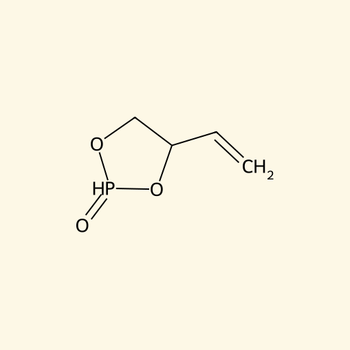 C=CC1CO[PH](=O)O1